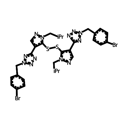 CC(C)Cn1ncc(-c2nnn(Cc3ccc(Br)cc3)n2)c1SSc1c(-c2nnn(Cc3ccc(Br)cc3)n2)cnn1CC(C)C